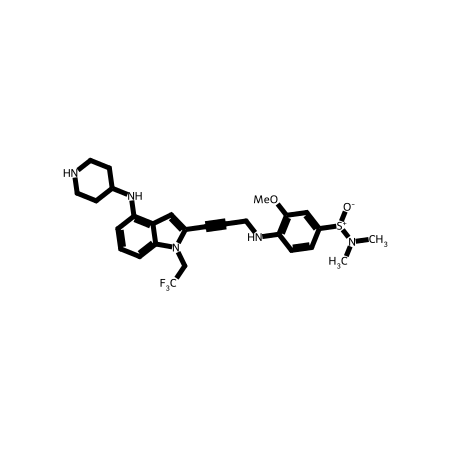 COc1cc([S+]([O-])N(C)C)ccc1NCC#Cc1cc2c(NC3CCNCC3)cccc2n1CC(F)(F)F